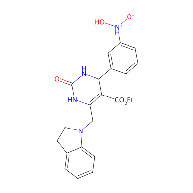 CCOC(=O)C1=C(CN2CCc3ccccc32)NC(=O)NC1c1cccc([NH+]([O-])O)c1